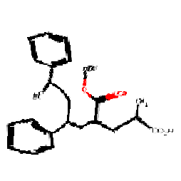 CCCCOC(=O)C(CC(C)C(=O)O)CC(CC(CC)c1ccccc1)c1ccccc1